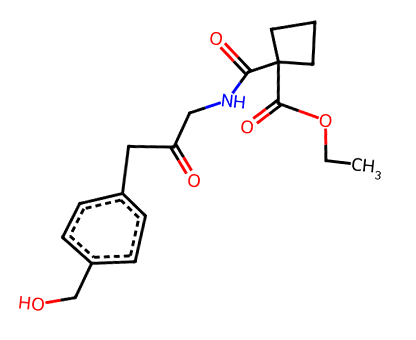 CCOC(=O)C1(C(=O)NCC(=O)Cc2ccc(CO)cc2)CCC1